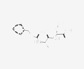 C[C@@H](NC(=O)OCc1ccccc1)C(=O)N[C@@H](CS)C(=O)O